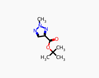 Cn1ncc(C(=O)OC(C)(C)C)n1